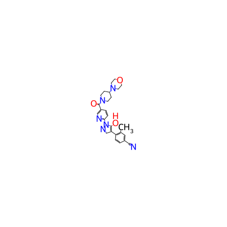 Cc1cc(C#N)ccc1-c1cnn(-c2ccc(C(=O)N3CCC(N4CCOCC4)CC3)cn2)c1O